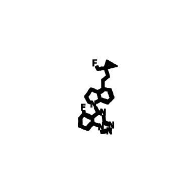 FCC1(CCc2cccc3c2CCCN3c2nc3nncn3c3cccc(F)c23)CC1